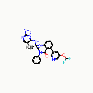 C[C@@]1(Nc2nc(N)ncc2C#N)C2N(c3ccccc3)C(=O)c3c(-c4cncc(OC(F)F)c4)cccc3N21